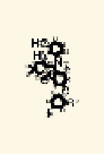 CC1(C)CC2=C(C(c3ccc(Oc4ccc(F)cc4Br)cc3F)Nc3cccc(O)c3N2)S(=O)(=O)C1